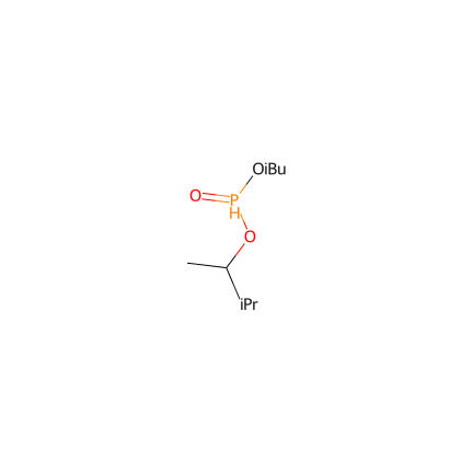 CC(C)CO[PH](=O)OC(C)C(C)C